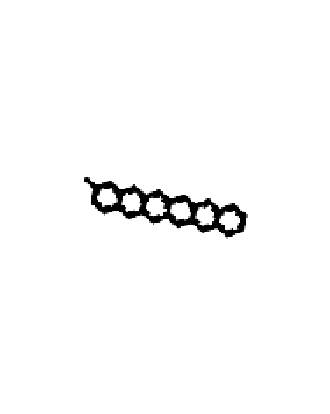 Cc1ccc2cc3cc4cc5cc6ccccc6cc5cc4cc3cc2c1